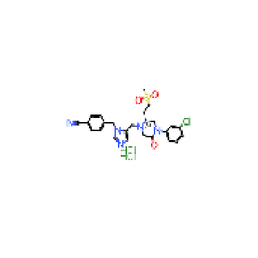 CS(=O)(=O)CC[C@H]1CN(c2cccc(Cl)c2)C(=O)CN1Cc1cncn1Cc1ccc(C#N)cc1.Cl.Cl